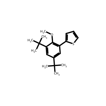 COc1c(-c2cccs2)cc(C(C)(C)C)cc1C(C)(C)C